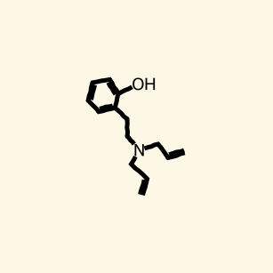 C=CCN(CC=C)CCc1ccccc1O